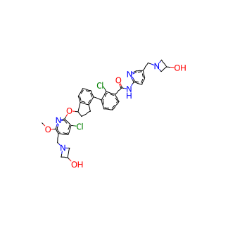 COc1nc(OC2CCc3c(-c4cccc(C(=O)Nc5ccc(CN6CC(O)C6)cn5)c4Cl)cccc32)c(Cl)cc1CN1CC(O)C1